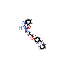 N#CN/C(=N/CCCOc1ccc(CN2CCCCC2)cc1)Oc1ccccc1